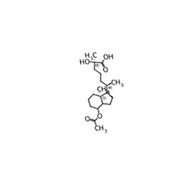 CC(=O)OC1CCC[C@]2(C)C1CC[C@@H]2[C@H](C)CCC[C@@](C)(O)C(=O)O